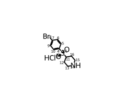 Cl.O=S(=O)(c1ccc(Br)cc1)C1CCNCC1